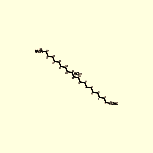 CCCCCCCCCCCCCCCCCCCCCCCCCCCCCCNC.Cl